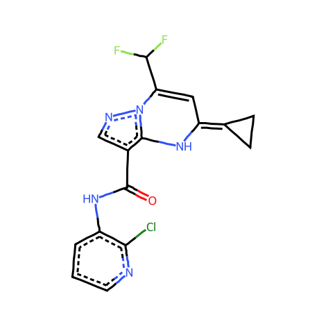 O=C(Nc1cccnc1Cl)c1cnn2c1NC(=C1CC1)C=C2C(F)F